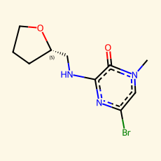 Cn1cc(Br)nc(NC[C@@H]2CCCO2)c1=O